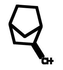 [CH]=C1CC2CCC1C2